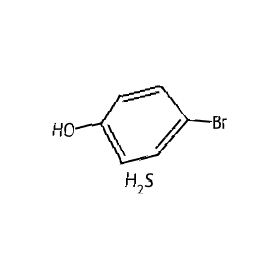 Oc1ccc(Br)cc1.S